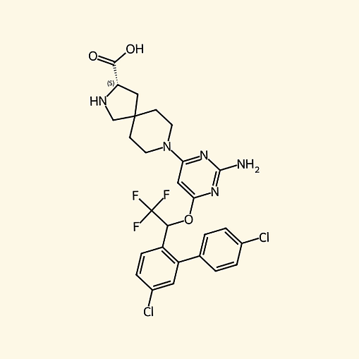 Nc1nc(OC(c2ccc(Cl)cc2-c2ccc(Cl)cc2)C(F)(F)F)cc(N2CCC3(CC2)CN[C@H](C(=O)O)C3)n1